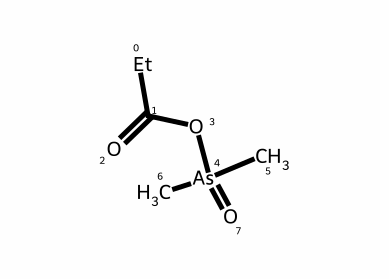 CCC(=O)O[As](C)(C)=O